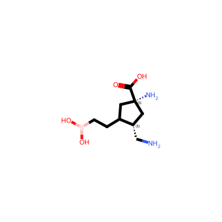 NC[C@H]1C[C@](N)(C(=O)O)CC1CCB(O)O